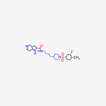 Cc1ccc(S(=O)(=O)N2CCC(CCCCNC(=O)c3cc4cnccc4[nH]3)CC2)cc1F